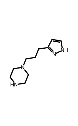 c1cc(CCCN2CCNCC2)n[nH]1